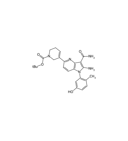 Cc1ccc(O)cc1-n1c(N)c(C(N)=O)c2nc(C3=CCCN(C(=O)OC(C)(C)C)C3)ccc21